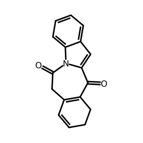 O=C1C2=C(C=CCC2)CC(=O)n2c1cc1ccccc12